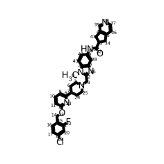 Cn1c(CN2CCC(c3cccc(OCc4ccc(Cl)cc4F)n3)CC2)nc2cc(NC(=O)C3Cc4ccncc4C3)ccc21